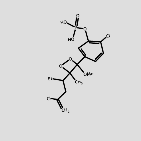 C=C(Cl)CC(CC)C1(C)OOC1(OC)c1ccc(Cl)c(OP(=O)(O)O)c1